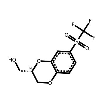 O=S(=O)(c1ccc2c(c1)O[C@@H](CO)CO2)C(F)(F)F